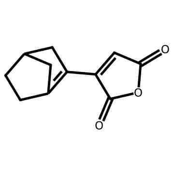 O=C1C=C(C2=C3CCC(C3)C2)C(=O)O1